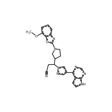 COc1cccc2nc(N3CCC(C(CC#N)n4cc(-c5ncnc6[nH]ccc56)cn4)C3)oc12